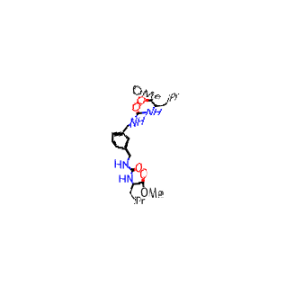 COC(=O)C(CC(C)C)NC(=O)NCc1cccc(CNC(=O)NC(CC(C)C)C(=O)OC)c1